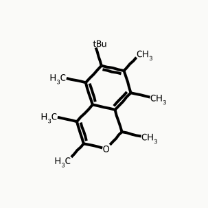 CC1=C(C)c2c(C)c(C(C)(C)C)c(C)c(C)c2C(C)O1